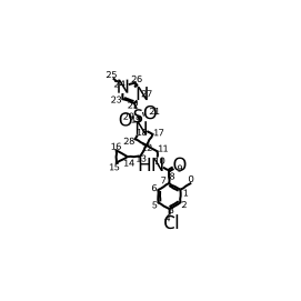 Cc1cc(Cl)ccc1C(=O)NCC1(CC2CC2)CN(S(=O)(=O)c2cn(C)cn2)C1